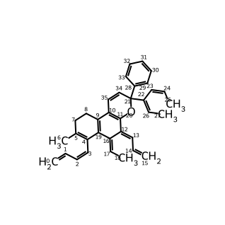 C=C/C=C\C1=C(C)CCc2c3c(c(=C/C=C)/c(=C\C)c21)OC(C(/C=C\C)=C/C)(c1ccccc1)C=C3